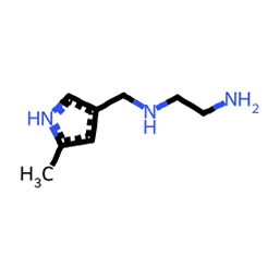 Cc1cc(CNCCN)c[nH]1